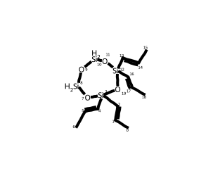 CC=C[Si]1(C=CC)O[SiH2]O[SiH2]O[Si](C=CC)(C=CC)O1